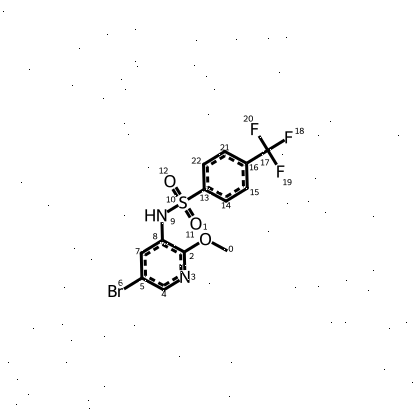 COc1ncc(Br)cc1NS(=O)(=O)c1ccc(C(F)(F)F)cc1